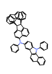 c1ccc(N(c2ccc3c(c2)c2ccc4ccccc4c2n3-c2ccccc2)c2ccc3c4c(cccc24)C24c5ccccc5-c5ccccc5C32c2cccc3cccc4c23)cc1